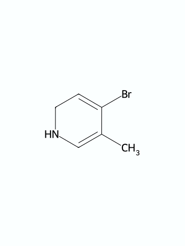 CC1=CNCC=C1Br